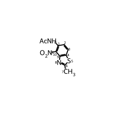 CC(=O)Nc1ccc2sc(C)nc2c1[N+](=O)[O-]